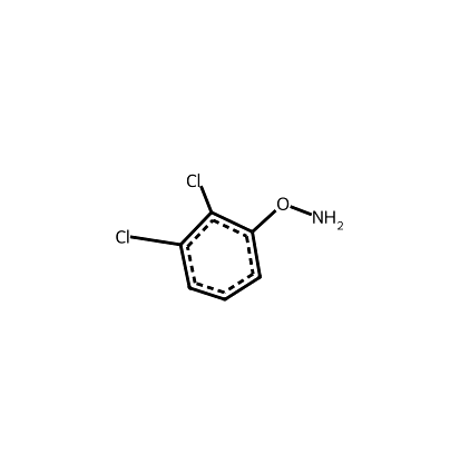 NOc1cccc(Cl)c1Cl